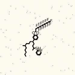 CCCCCC(C)CCCC(CCC(C)[SiH2]c1ccccn1)c1ccc2c(c1)OC(CC(F)(F)C(F)(F)C(F)(F)C(F)(F)C(F)(F)C(F)(F)F)O2